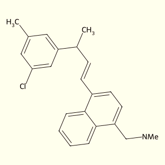 CNCc1ccc(/C=C/C(C)c2cc(C)cc(Cl)c2)c2ccccc12